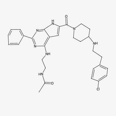 CC(=O)NCCNc1nc(-c2ccccc2)nc2[nH]c(C(=O)N3CCC(NCCc4ccc(Cl)cc4)CC3)cc12